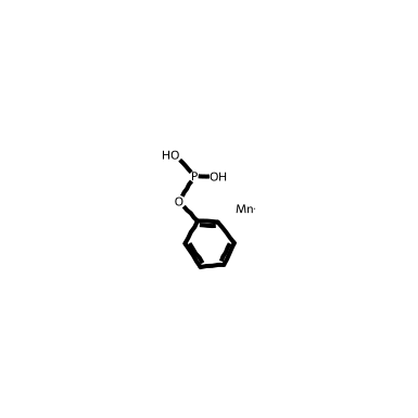 OP(O)Oc1ccccc1.[Mn]